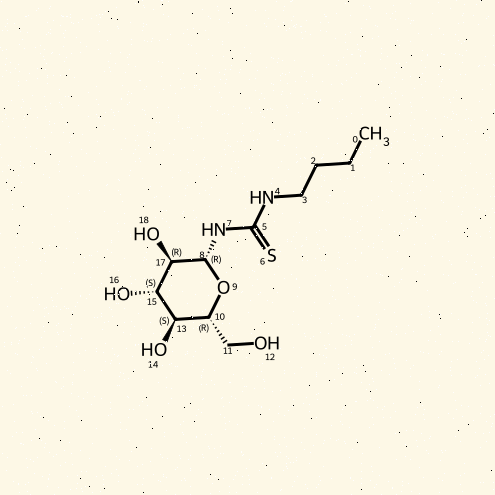 CCCCNC(=S)N[C@@H]1O[C@H](CO)[C@@H](O)[C@H](O)[C@H]1O